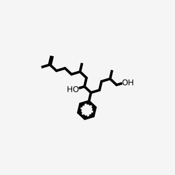 C=C(C)CCCC(C)CC(O)C(CCC(C)CO)c1ccccc1